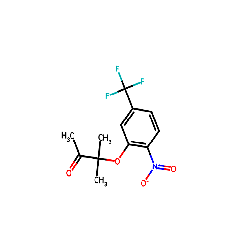 CC(=O)C(C)(C)Oc1cc(C(F)(F)F)ccc1[N+](=O)[O-]